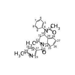 CC(=O)N(c1ccccc1)C1CC(C)N(C(=O)c2ccc(C)nc2)c2ccccc21